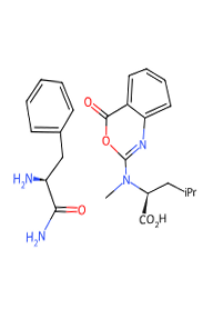 CC(C)C[C@@H](C(=O)O)N(C)c1nc2ccccc2c(=O)o1.NC(=O)[C@@H](N)Cc1ccccc1